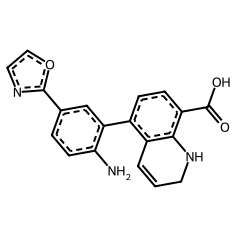 Nc1ccc(-c2ncco2)cc1-c1ccc(C(=O)O)c2c1C=CCN2